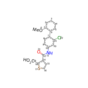 COc1ccccc1-c1ccc(NC(=O)c2ccsc2C(=O)O)cc1Cl